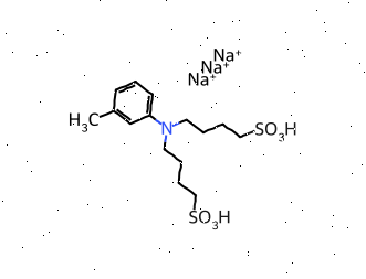 Cc1cccc(N(CCCCS(=O)(=O)O)CCCCS(=O)(=O)O)c1.[Na+].[Na+].[Na+]